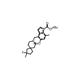 COc1cc(C)c2c(ccn2C(=O)OC(C)(C)C)c1CN1CCC2(CC1)CCC(F)(F)C2